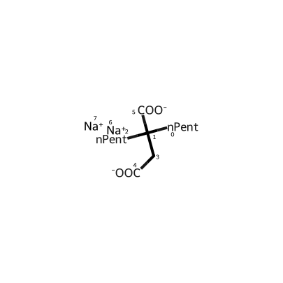 CCCCCC(CCCCC)(CC(=O)[O-])C(=O)[O-].[Na+].[Na+]